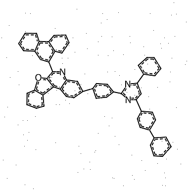 c1ccc(-c2ccc(-c3cc(-c4ccccc4)nc(-c4ccc(-c5ccc6c(c5)nc(-c5cc7ccccc7c7ccccc57)c5oc7ccccc7c56)cc4)n3)cc2)cc1